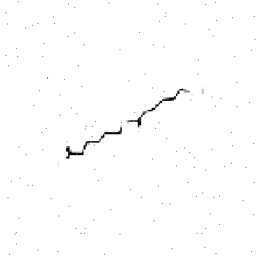 O=C(O)CCCCCOC(=O)CCCCCO